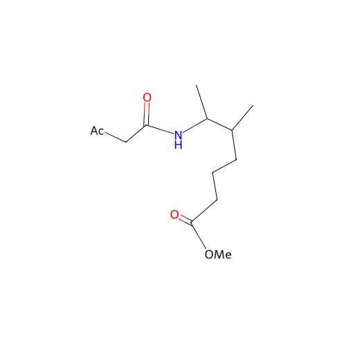 COC(=O)CCCC(C)C(C)NC(=O)CC(C)=O